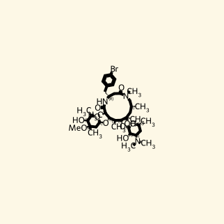 CO[C@]1(C)C[C@H](O[C@H]2[C@H](C)[C@@H](O[C@@H]3O[C@H](C)C[C@H](N(C)C)[C@H]3O)[C@](C)(O)C[C@@H](C)CN(C)C(=O)C[C@@H](Cc3ccc(Br)cc3)NC(=O)[C@@H]2C)O[C@@H](C)[C@@H]1O